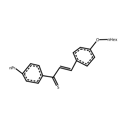 CCCCCCOc1ccc(C=CC(=S)c2ccc(CCC)cc2)cc1